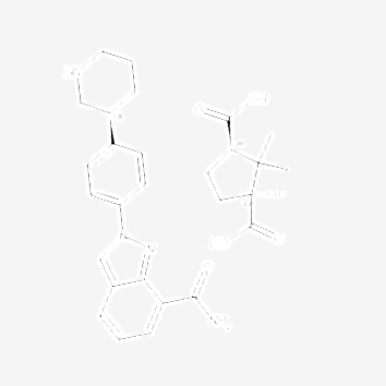 CC1(C)[C@H](C(=O)O)CC[C@]1(C)C(=O)O.NC(=O)c1cccc2cn(-c3ccc([C@@H]4CCCNC4)cc3)nc12